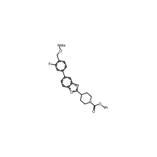 CNOCc1ccc(-c2ccc3oc(C4CCN(C(=O)OC(C)C)CC4)nc3c2)cc1F